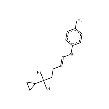 Cc1ccc(NN=NCCC(S)(S)C2CC2)cc1